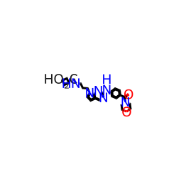 C1CCC1.O=C(O)NCCCn1ccc2cnc(Nc3ccc(C(=O)N4CCOCC4)cc3)nc21